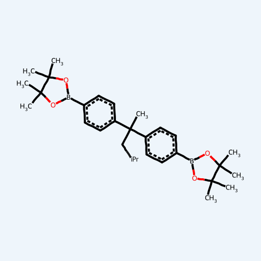 CC(C)CC(C)(c1ccc(B2OC(C)(C)C(C)(C)O2)cc1)c1ccc(B2OC(C)(C)C(C)(C)O2)cc1